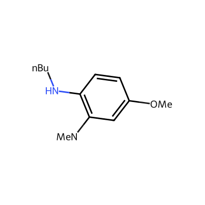 CCCCNc1ccc(OC)cc1NC